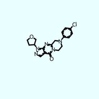 O=c1c2cnn(C3CCOC3)c2nc2n1CCN(c1ccc(Cl)cc1)C2